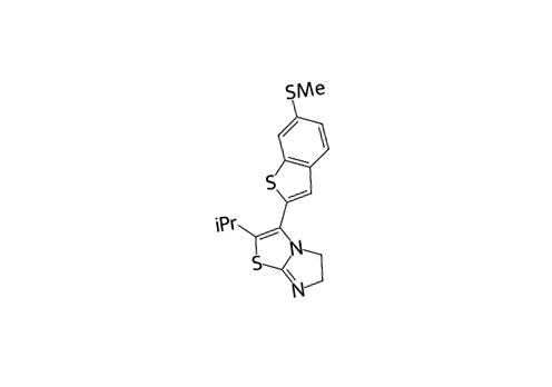 CSc1ccc2cc(C3=C(C(C)C)SC4=NCCN43)sc2c1